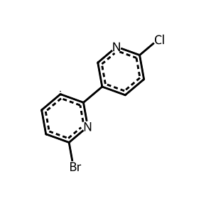 Clc1ccc(-c2[c]ccc(Br)n2)cn1